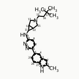 Cc1cc2cc(-c3ccc(NC4C5CN(CCC(C)(C)C)CC54)nn3)ccc2[nH]1